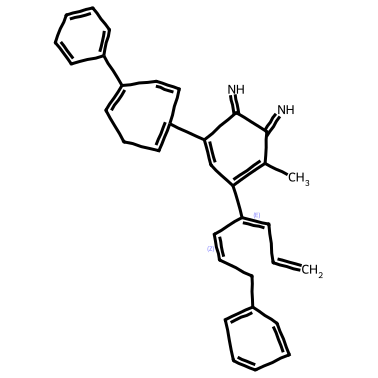 C=C/C=C(\C=C/Cc1ccccc1)C1=C(C)C(=N)C(=N)C(C2=CCC=C(c3ccccc3)C=C2)=C1